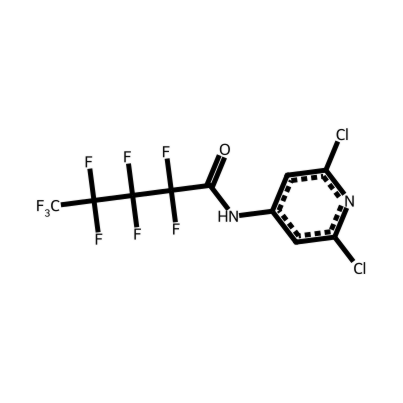 O=C(Nc1cc(Cl)nc(Cl)c1)C(F)(F)C(F)(F)C(F)(F)C(F)(F)F